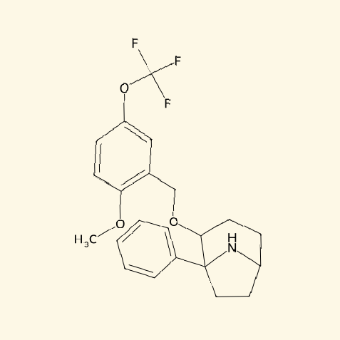 COc1ccc(OC(F)(F)F)cc1COC1CCC2CCC1(c1ccccc1)N2